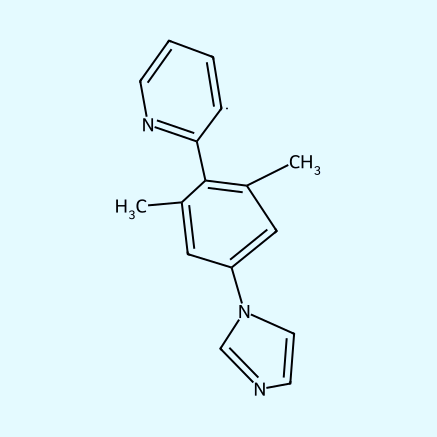 Cc1cc(-n2ccnc2)cc(C)c1-c1[c]cccn1